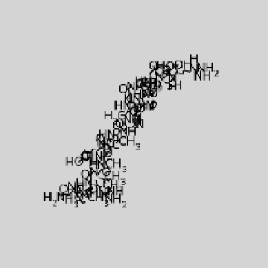 CSCC[C@H](NC(=O)[C@H](CCC(N)=O)NC(=O)[C@H](C)NC(=O)[C@H](Cc1c[nH]cn1)NC(=O)[C@@H](NC(=O)[C@@H]1CCCN1C(=O)[C@H](Cc1ccc(O)cc1)NC(=O)[C@H](C)NC(=O)[C@H](CC(C)C)NC(=O)[C@H](CCCNC(=N)N)NC(=O)[C@@H](NC(=O)[C@@H](N)CC(N)=O)C(C)C)C(C)C)C(=O)N1CCC[C@H]1C(=O)N[C@@H](CO)C(=O)N[C@@H](CC(C)C)C(=O)N[C@@H](CS)C(=O)N[C@@H](CCCNC(=N)N)C(=O)O